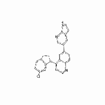 Clc1ccc2c(c1)N(c1ncnc3ccc(-c4cnc5[nH]ncc5c4)cc13)CC2